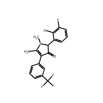 CN1C(N)=C(c2cccc(C(F)(F)F)c2)C(=O)C1c1cccc(F)c1Cl